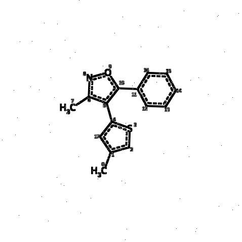 Cc1csc(-c2c(C)noc2-c2ccccc2)c1